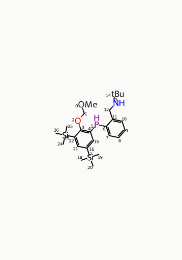 COCOc1c(Pc2ccccc2CNC(C)(C)C)cc([Si](C)(C)C)cc1[Si](C)(C)C